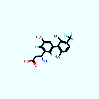 Cc1cc(-c2c(C)ccc(C(F)(F)F)c2C)c(F)c([C@@H](N)CC(=O)O)c1F